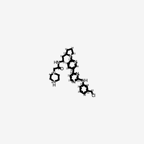 O=C(CN1CCNCC1)NCCC1CCCN1c1ccc(-c2ccnc(Nc3cccc(CCl)c3)n2)cn1